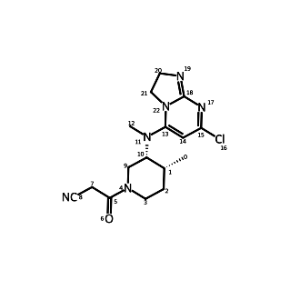 C[C@@H]1CCN(C(=O)CC#N)C[C@@H]1N(C)C1=CC(Cl)=NC2=NCCN12